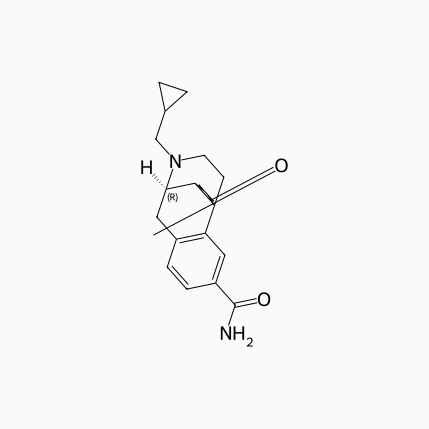 NC(=O)c1ccc2c(c1)C13CCN(CC4CC4)[C@H](C2)C1CCC(=O)C3